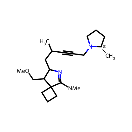 CNC1=NC(CC(C)C#CCN2CCC[C@@H]2C)C(COC)C12CCC2